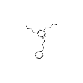 CCCCc1cc(CCCC)c[n+](CCCc2ccccc2)c1